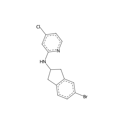 Clc1ccnc(NC2Cc3ccc(Br)cc3C2)c1